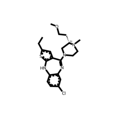 CCc1cc2c(s1)Nc1ccc(Cl)cc1N=C2N1CCN(C)[C@@H](CCOC)C1